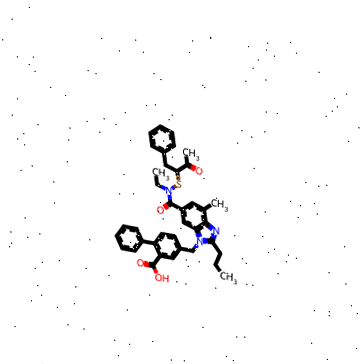 CCCc1nc2c(C)cc(C(=O)N(CC)SC(Cc3ccccc3)C(C)=O)cc2n1Cc1ccc(-c2ccccc2)c(C(=O)O)c1